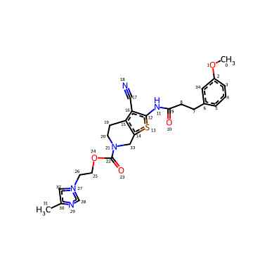 COc1cccc(CCC(=O)Nc2sc3c(c2C#N)CCN(C(=O)OCCn2cnc(C)c2)C3)c1